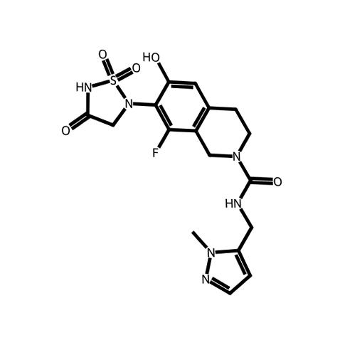 Cn1nccc1CNC(=O)N1CCc2cc(O)c(N3CC(=O)NS3(=O)=O)c(F)c2C1